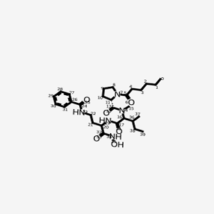 CCCCCC(=O)N1CCC[C@H]1C(=O)N(C)C(C(=O)NC(CCNC(=O)c1ccccc1)C(=O)NO)C(C)CC